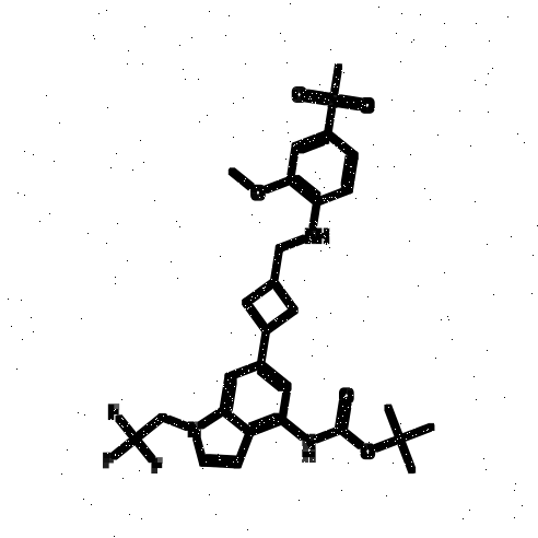 COc1cc(S(C)(=O)=O)ccc1NCC1CC(c2cc(NC(=O)OC(C)(C)C)c3ccn(CC(F)(F)F)c3c2)C1